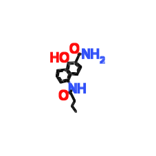 CCCC(=O)Nc1cccc2c(O)c(C(N)=O)ccc12